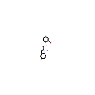 Cn1c(C(=O)Nc2ccc(Cl)cc2C(=O)O)cc2cc(Br)ccc21